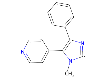 Cn1[c]nc(-c2ccccc2)c1-c1ccncc1